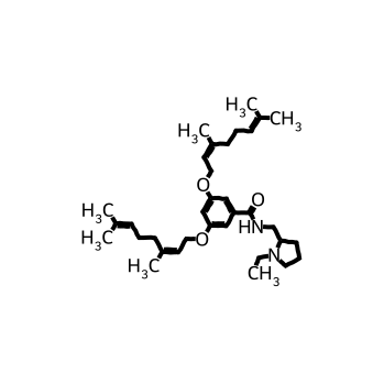 CCN1CCCC1CNC(=O)c1cc(OCC=C(C)CCC=C(C)C)cc(OCC=C(C)CCC=C(C)C)c1